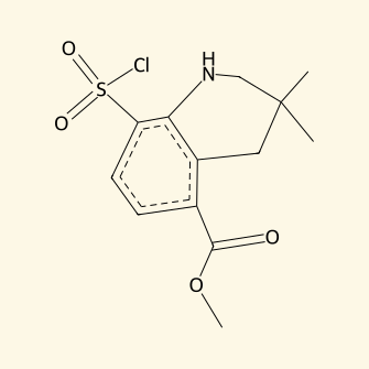 COC(=O)c1ccc(S(=O)(=O)Cl)c2c1CC(C)(C)CN2